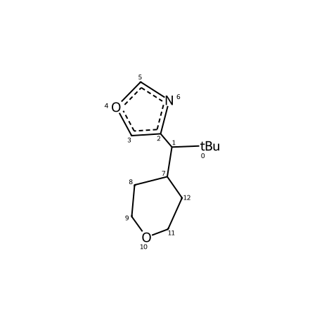 CC(C)(C)C(c1cocn1)C1CCOCC1